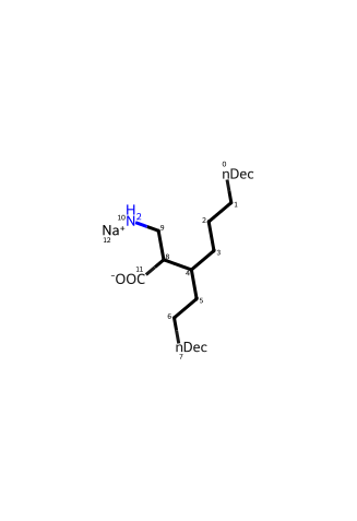 CCCCCCCCCCCCCC(CCCCCCCCCCCC)C(CN)C(=O)[O-].[Na+]